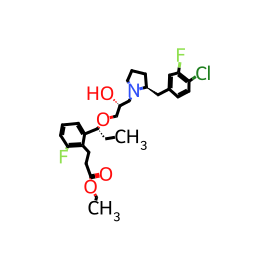 CCOC(=O)CCc1c(F)cccc1[C@@H](CC)OC[C@H](O)CN1CCC[C@H]1Cc1ccc(Cl)c(F)c1